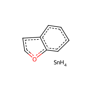 [SnH4].c1ccc2occc2c1